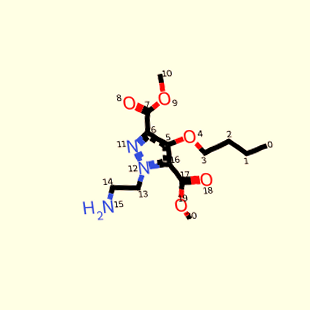 CCCCOc1c(C(=O)OC)nn(CCN)c1C(=O)OC